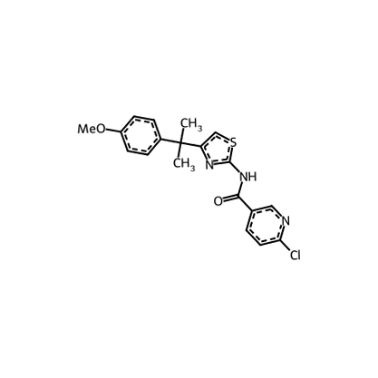 COc1ccc(C(C)(C)c2csc(NC(=O)c3ccc(Cl)nc3)n2)cc1